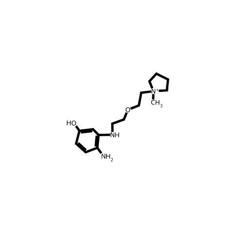 C[N+]1(CCOCCNc2cc(O)ccc2N)CCCC1